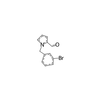 O=Cc1cccn1Cc1cccc(Br)c1